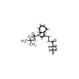 CC(C)(C)OC(=O)n1cc(C[CH]C(=O)C(F)(F)C(F)(F)F)c2ccccc21